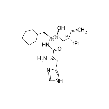 C=C[C@@H](C[C@H](O)[C@H](CC1CCCCC1)NC(=O)[C@@H](N)Cc1c[nH]cn1)C(C)C